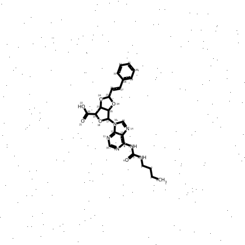 CCCCNC(=O)Nc1ncnc2c1ncn2C1OC(C(=O)O)C2OC(C=Cc3ccccc3)OC21